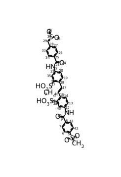 C.CS(=O)(=O)c1ccc(C(=O)Nc2ccc(C=Cc3ccc(NC(=O)c4ccc(C=S(=O)=O)cc4)cc3S(=O)(=O)O)c(S(=O)(=O)O)c2)cc1